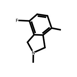 Cc1ccc(F)c2c1CN(C)C2